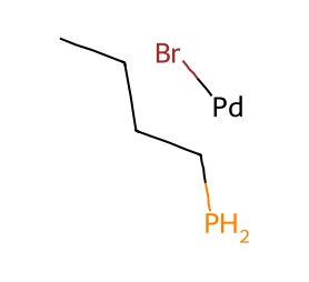 CCCCP.[Br][Pd]